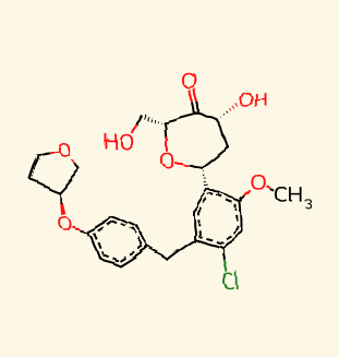 COc1cc(Cl)c(Cc2ccc(O[C@H]3CCOC3)cc2)cc1[C@H]1C[C@@H](O)C(=O)[C@@H](CO)O1